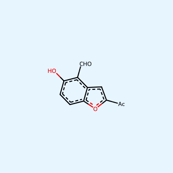 CC(=O)c1cc2c(C=O)c(O)ccc2o1